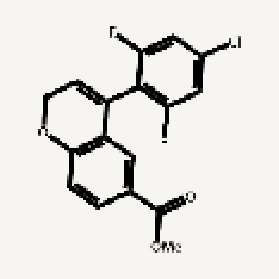 COC(=O)c1ccc2c(c1)C(c1c(F)cc(Cl)cc1F)=CCO2